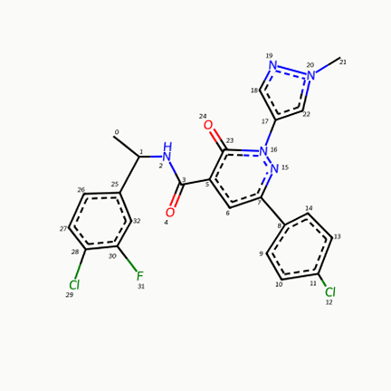 CC(NC(=O)c1cc(-c2ccc(Cl)cc2)nn(-c2cnn(C)c2)c1=O)c1ccc(Cl)c(F)c1